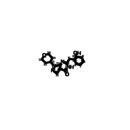 O=c1[nH]c(Cc2ccccc2O)nc2c1cnn2C1CCOCC1